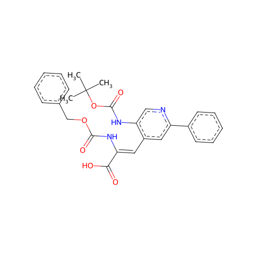 CC(C)(C)OC(=O)Nc1cnc(-c2ccccc2)cc1C=C(NC(=O)OCc1ccccc1)C(=O)O